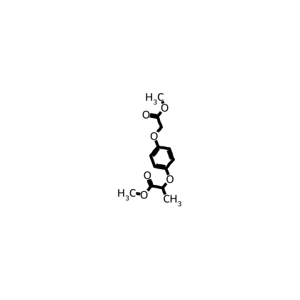 COC(=O)COc1ccc(OC(C)C(=O)OC)cc1